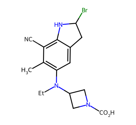 CCN(c1cc2c(c(C#N)c1C)NC(Br)C2)C1CN(C(=O)O)C1